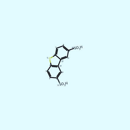 O=S(=O)(O)c1ccc2sc3ccc(S(=O)(=O)O)cc3c2c1